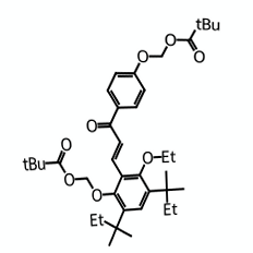 CCOc1c(C(C)(C)CC)cc(C(C)(C)CC)c(OCOC(=O)C(C)(C)C)c1C=CC(=O)c1ccc(OCOC(=O)C(C)(C)C)cc1